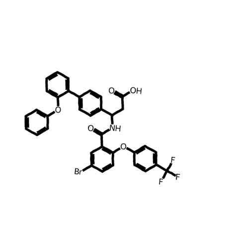 O=C(O)CC(NC(=O)c1cc(Br)ccc1Oc1ccc(C(F)(F)F)cc1)c1ccc(-c2ccccc2Oc2ccccc2)cc1